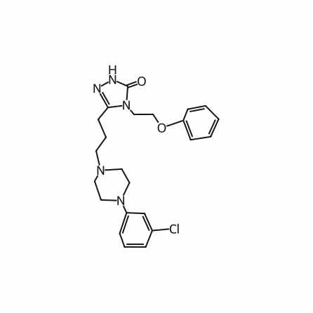 O=c1[nH]nc(CCCN2CCN(c3cccc(Cl)c3)CC2)n1CCOc1ccccc1